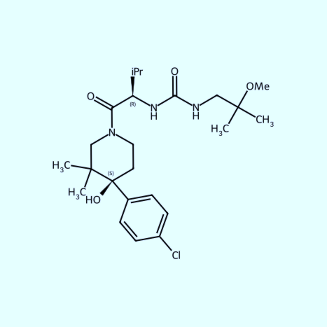 COC(C)(C)CNC(=O)N[C@@H](C(=O)N1CC[C@](O)(c2ccc(Cl)cc2)C(C)(C)C1)C(C)C